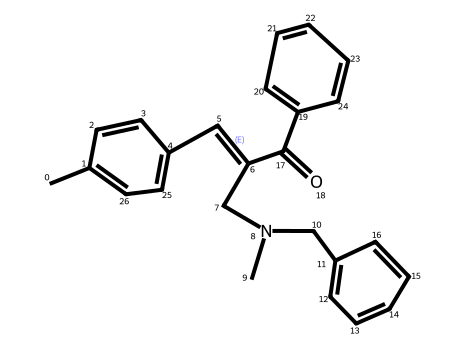 Cc1ccc(/C=C(\CN(C)Cc2ccccc2)C(=O)c2ccccc2)cc1